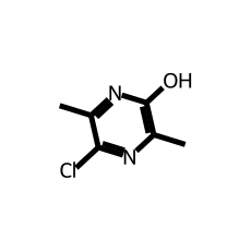 Cc1nc(Cl)c(C)nc1O